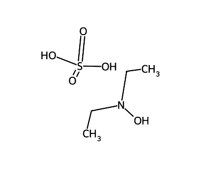 CCN(O)CC.O=S(=O)(O)O